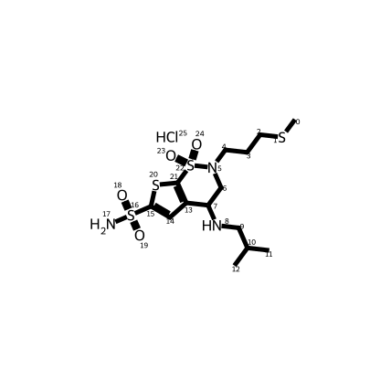 CSCCCN1CC(NCC(C)C)c2cc(S(N)(=O)=O)sc2S1(=O)=O.Cl